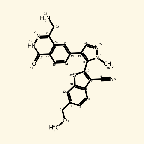 COCc1ccc2c(C#N)c(-c3c(-c4ccc5c(=O)[nH]nc(CN)c5c4)cnn3C)sc2c1